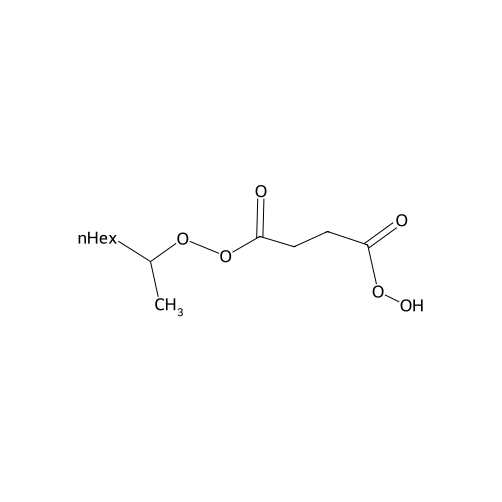 CCCCCCC(C)OOC(=O)CCC(=O)OO